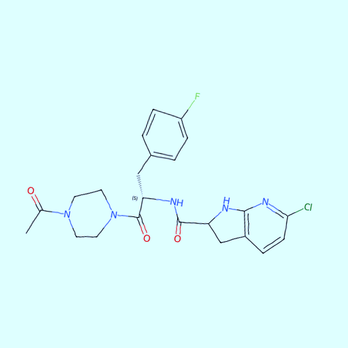 CC(=O)N1CCN(C(=O)[C@H](Cc2ccc(F)cc2)NC(=O)C2Cc3ccc(Cl)nc3N2)CC1